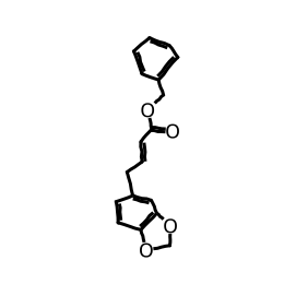 O=C(C=CCc1ccc2c(c1)OCO2)OCc1ccccc1